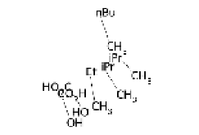 CC(C)C.CC(C)C.CCC.CCCCC.O=C(O)O.O=C(O)O